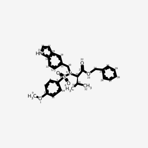 COc1ccc(S(=O)(=O)N(Cc2ccc3[nH]ccc3c2)[C@@H](C(=O)OCc2ccccc2)C(C)C)cc1